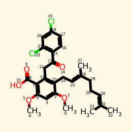 COc1cc(OC)c(C(=O)O)c(CC(=O)c2ccc(Cl)cc2Cl)c1C/C=C(\C)CCC=C(C)C